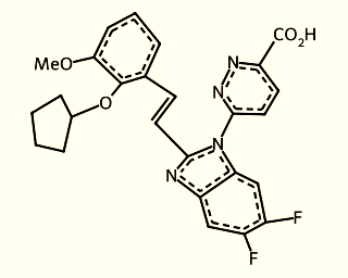 COc1cccc(C=Cc2nc3cc(F)c(F)cc3n2-c2ccc(C(=O)O)nn2)c1OC1CCCC1